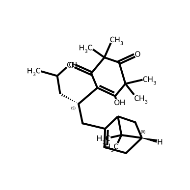 CC(C)C[C@@H](CC1=CC[C@H]2CC1C2(C)C)C1=C(O)C(C)(C)C(=O)C(C)(C)C1=O